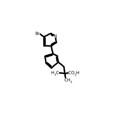 CC(C)(Cc1cccc(-c2cncc(Br)c2)c1)C(=O)O